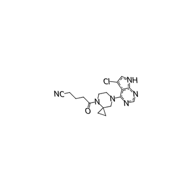 N#CCCCC(=O)N1CCN(c2ncnc3[nH]cc(Cl)c23)CC12CC2